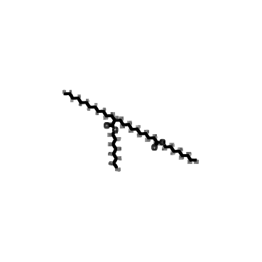 CCCCCCCCCCCCC(CCCCCCCCCC(=O)OCCCCCCCC)C(=O)OCCCCCCCC